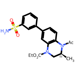 CCOC(=O)N1C[C@H](C)N(C(C)=O)c2ccc(-c3cccc(S(N)(=O)=O)c3)cc21